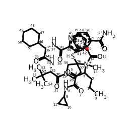 CCCC(C(=O)C(=O)NC1CC1)[N+]1(C)C(=O)c2c(cccc2C(N)=O)SC12CCN(C(=O)[C@@H](NC(=O)[C@@H](NC(=O)c1cnccn1)C1CCCCC1)C(C)(C)C)C2